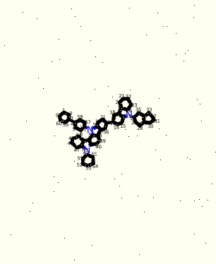 c1ccc(-c2ccc(-n3c4ccc(-c5ccc6c(c5)c5ccccc5n6-c5ccc6ccccc6c5)cc4c4ccc5c(c6ccccc6n5-c5ccccc5)c43)cc2)cc1